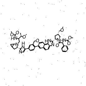 COC[C@H]1C[C@@H](c2nc3ccc4cc5c(cc4c3[nH]2)OCc2cc(-c3cnc([C@@H]4CC6CC6N4CC(NC(=O)OC)[C@@H](C)OC)[nH]3)ccc2-5)N(C(=O)[C@H](NC(=O)OC)c2ccccc2)C1